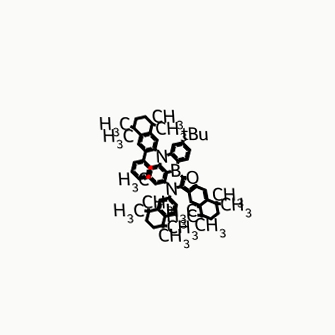 Cc1cc2c3c(c1)N(c1ccc4c(c1)C(C)(C)CCC4(C)C)c1c(oc4c1CC1(C)C(=C4)C(C)(C)CCC1(C)C)B3c1ccc(C(C)(C)C)cc1N2c1cc2c(cc1-c1ccccc1)C(C)(C)CCC2(C)C